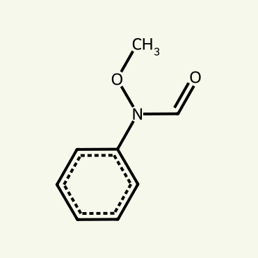 CON(C=O)c1ccccc1